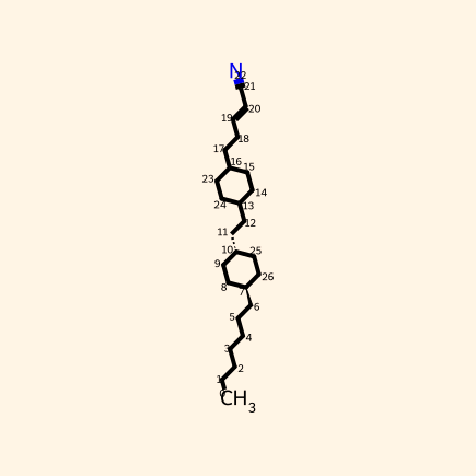 CCCCCCC[C@H]1CC[C@H](CCC2CCC(CCC=CC#N)CC2)CC1